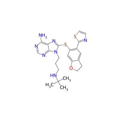 CC(C)(C)NCCCn1c(Sc2cc3c(cc2-c2nccs2)CCO3)nc2c(N)ncnc21